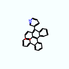 c1ccc(-c2ccccc2-c2c3ccccc3c(-c3cccnc3)c3ccccc23)cc1